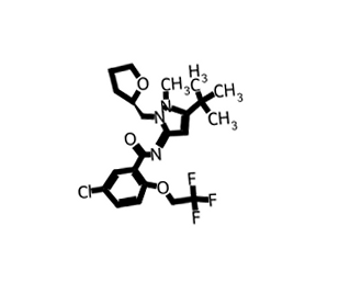 Cn1c(C(C)(C)C)c/c(=N/C(=O)c2cc(Cl)ccc2OCC(F)(F)F)n1C[C@H]1CCCO1